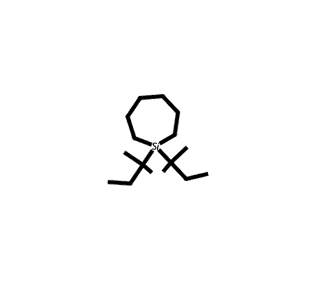 CCC(C)(C)[Si]1(C(C)(C)CC)CCCCCC1